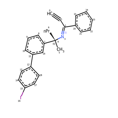 C#C/C(=N\[C@@](C)(CCC)c1cccc(-c2ccc(I)cc2)c1)c1ccccc1